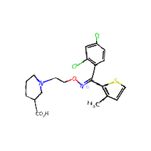 Cc1ccsc1/C(=N/OCCN1CCCC(C(=O)O)C1)c1ccc(Cl)cc1Cl